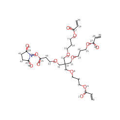 C=CC(=O)OCCCOCC(COCCCOC(=O)C=C)(COCCCOC(=O)C=C)COCCC(=O)ON1C(=O)CCC1=O